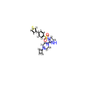 O=S(=O)(c1ccc(-c2ccsc2)cc1)N1CCNC1N1CCN(C2CCC2)CC1